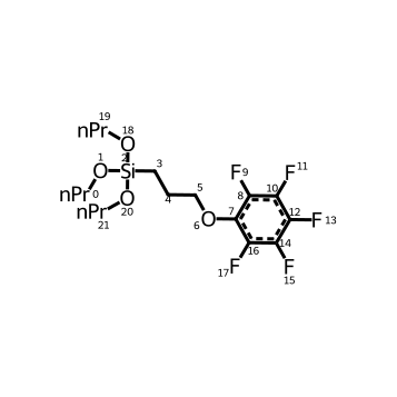 CCCO[Si](CCCOc1c(F)c(F)c(F)c(F)c1F)(OCCC)OCCC